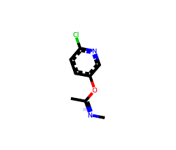 C/N=C(/C)Oc1ccc(Cl)nc1